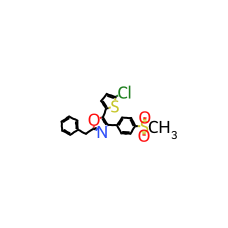 CS(=O)(=O)c1ccc(-c2nc(Cc3ccccc3)oc2-c2ccc(Cl)s2)cc1